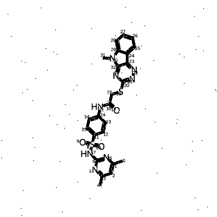 Cc1cc(C)nc(NS(=O)(=O)c2ccc(NC(=O)CSc3nnc4c5ccccc5n(C)c4n3)cc2)n1